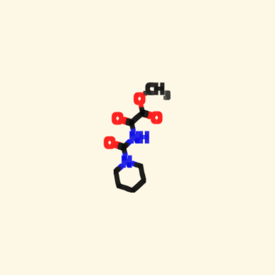 COC(=O)C(=O)NC(=O)N1CCCCC1